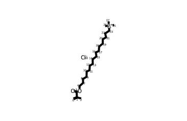 C=C(C)C(=O)OCCCCCCCCCCCCCCCCCC[P+](C)(C)C.[Cl-]